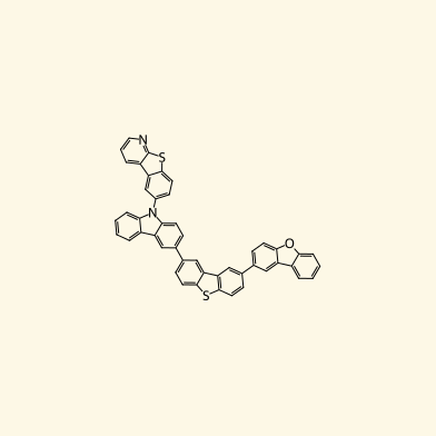 c1ccc2c(c1)oc1ccc(-c3ccc4sc5ccc(-c6ccc7c(c6)c6ccccc6n7-c6ccc7sc8ncccc8c7c6)cc5c4c3)cc12